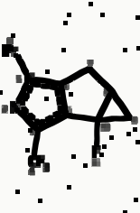 CC(C)n1nc(C(F)(F)F)c2c1CC1CC21F